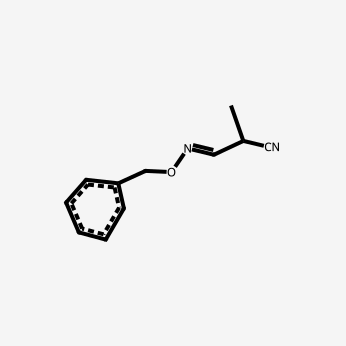 CC(C#N)/C=N/OCc1ccccc1